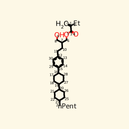 C=C(CC)C(=O)OCC(CO)CCc1ccc(C2CCC(C3CCC(CCCCC)CC3)CC2)cc1